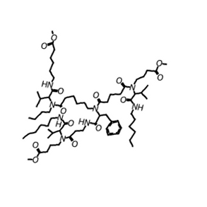 CCCCCCNC(=O)C(C(C)C)N(CCCC(=O)OC)C(=O)CCCC(=O)N(CCCCCC(=O)N(CCCC)C(C(=O)NCCCCCC(=O)OC)C(C)C)C(Cc1ccccc1)C(=O)NCCC(=O)N(CCCC(=O)OC)C(C(=O)NCCCCCC)C(C)C